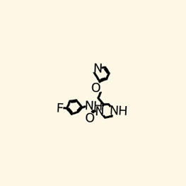 O=C(Nc1ccc(F)cc1)N1CCNCC1CCOc1cccnc1